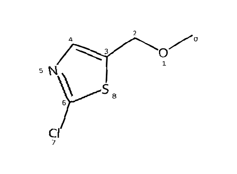 COCc1cnc(Cl)s1